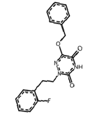 O=c1[nH]c(=O)n(CCc2ccccc2F)nc1OCc1ccccc1